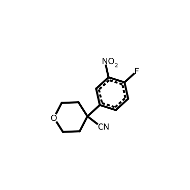 N#CC1(c2ccc(F)c([N+](=O)[O-])c2)CCOCC1